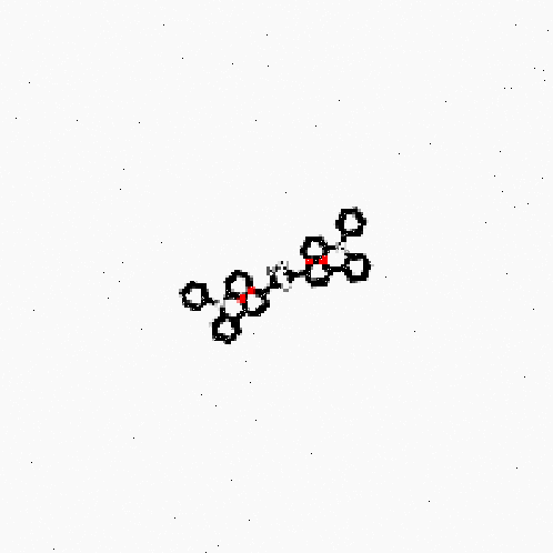 c1ccc(N(c2ccccc2)c2ccccc2-c2ccc(-c3nnc(-c4ccc(-c5ccccc5N(c5ccccc5)c5ccccc5)cc4)o3)cc2)cc1